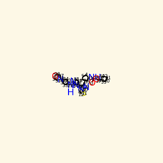 O=C(Nc1cccc(-c2nc3sccn3c2-c2ccnc(Nc3ccc(N4CCOCC4)cc3)n2)c1)OCc1ccccc1